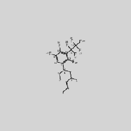 CCCC(C)CN(CC)c1cc(F)c(F)c(C(F)(F)C(F)(F)F)c1F